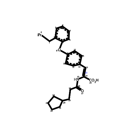 CC(C)Cc1ccccc1Oc1ccc(/C=C(\NC(=O)CCC2CCCC2)C(=O)O)cc1